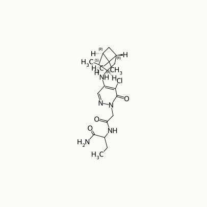 CCC(NC(=O)Cn1ncc(N[C@@H]2C[C@H]3C[C@H]([C@@H]2C)C3(C)C)c(Cl)c1=O)C(N)=O